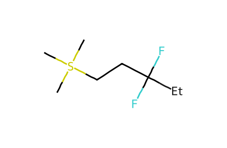 CCC(F)(F)CCS(C)(C)C